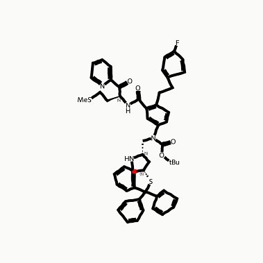 CSCC[C@H](NC(=O)c1cc(N(C[C@@H]2C[C@H](SC(c3ccccc3)(c3ccccc3)c3ccccc3)CN2)C(=O)OC(C)(C)C)ccc1CCc1ccc(F)cc1)C(=O)c1ccccn1